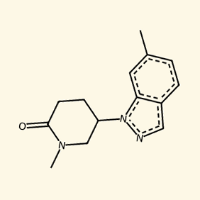 Cc1ccc2cnn(C3CCC(=O)N(C)C3)c2c1